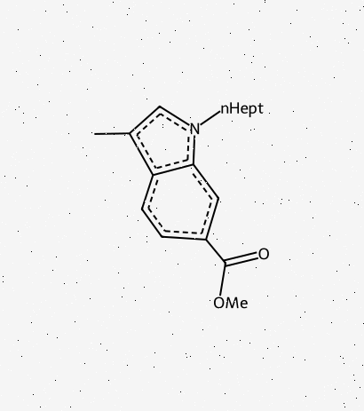 CCCCCCCn1cc(C)c2ccc(C(=O)OC)cc21